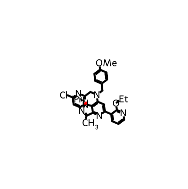 CCOc1ncccc1-c1cc(N(Cc2ccc(OC)cc2)Cc2nccc(Cl)n2)c2c(n1)c(C)nn2C(C)C